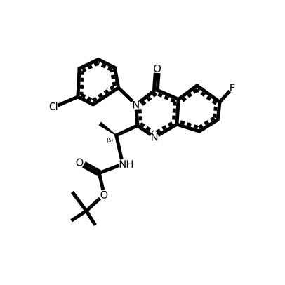 C[C@H](NC(=O)OC(C)(C)C)c1nc2ccc(F)cc2c(=O)n1-c1cccc(Cl)c1